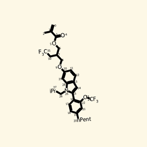 C=C(C)C(=O)OCC(COc1ccc2cc(-c3ccc(CCCCC)cc3OC(F)(F)F)n(CC(C)C)c2c1)CC(F)(F)F